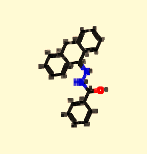 O=C(NN=C1c2ccccc2Cc2ccccc21)c1ccccc1